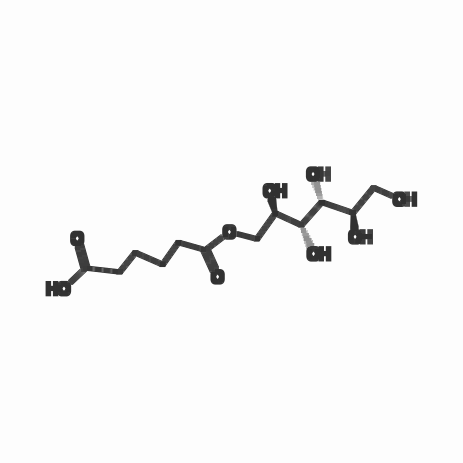 O=C(O)CCCCC(=O)OC[C@@H](O)[C@@H](O)[C@H](O)[C@H](O)CO